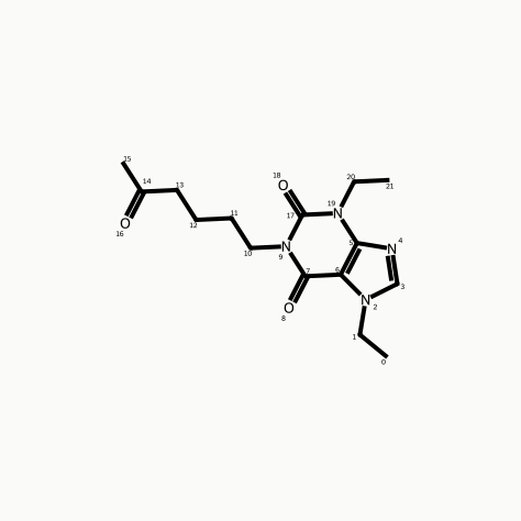 CCn1cnc2c1c(=O)n(CCCCC(C)=O)c(=O)n2CC